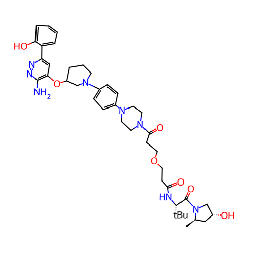 C[C@@H]1C[C@@H](O)CN1C(=O)[C@@H](NC(=O)CCOCCC(=O)N1CCN(c2ccc(N3CCCC(Oc4cc(-c5ccccc5O)nnc4N)C3)cc2)CC1)C(C)(C)C